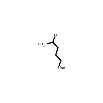 CCC(CCCSC)C(=O)O